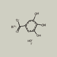 O=C([O-])c1cc(O)c(O)c(O)c1.[Bi+3].[I-].[OH-]